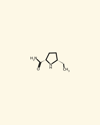 CC[C@H]1CC[C@@H](C(N)=O)N1